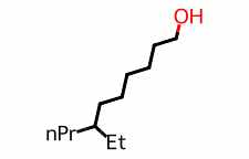 CCCC(CC)CCCCCCO